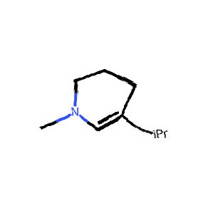 CC(C)C1=CN(C)CCC1